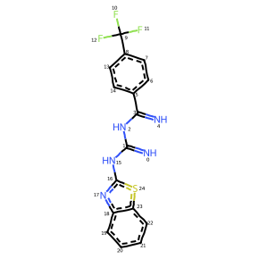 N=C(NC(=N)c1ccc(C(F)(F)F)cc1)Nc1nc2ccccc2s1